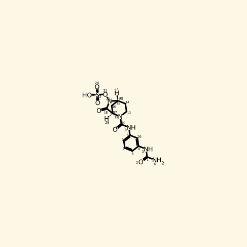 NC(=O)Nc1cccc(NC(=O)N2CC[C@@H]3C[C@@H]2C(=O)N3OS(=O)(=O)O)c1